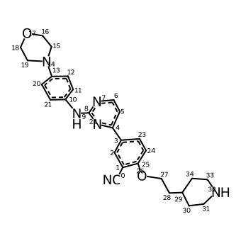 N#Cc1cc(-c2ccnc(Nc3ccc(N4CCOCC4)cc3)n2)ccc1OCCC1CCNCC1